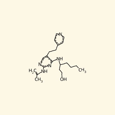 C=C(C)Nc1ncc(CCc2ccncc2)c(NC(CCO)CCCC)n1